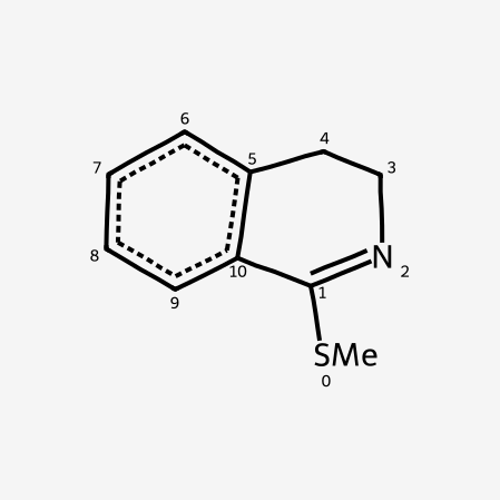 CSC1=NCCc2ccccc21